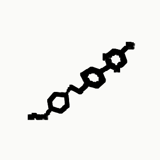 CCCCC[C@H]1CC[C@H](CCc2ccc(-c3ncc(CC)cn3)cc2)CC1